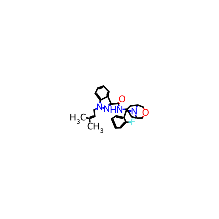 CC(C)=CCn1nc(C(=O)NC2CC3COCC(C2)N3Cc2ccccc2F)c2ccccc21